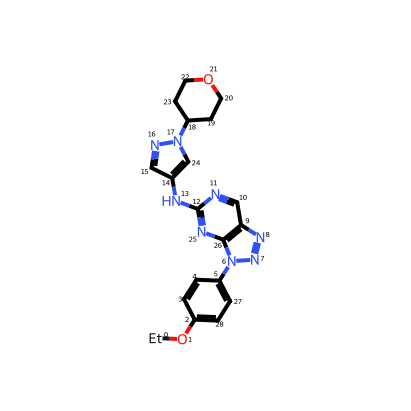 CCOc1ccc(-n2nnc3cnc(Nc4cnn(C5CCOCC5)c4)nc32)cc1